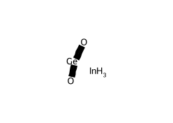 [InH3].[O]=[Ge]=[O]